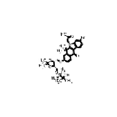 CC1(C)O[C@@H](CO[Si](C)(C)C(C)(C)C)[C@@H](COc2ccc3c(c2)C(C)(C)c2c(c4ccc(Br)cc4n2CC(=O)O)C3=O)O1